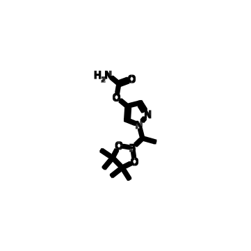 CC(B1OC(C)(C)C(C)(C)O1)n1cc(OC(N)=O)cn1